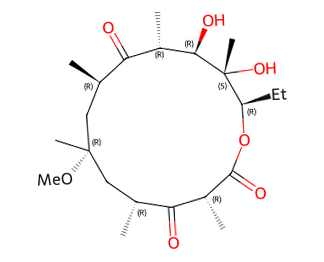 CC[C@H]1OC(=O)[C@H](C)C(=O)[C@H](C)C[C@](C)(OC)C[C@@H](C)C(=O)[C@H](C)[C@@H](O)[C@]1(C)O